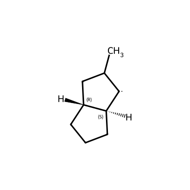 CC1[CH][C@H]2CCC[C@@H]2C1